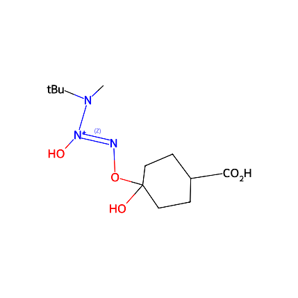 CN(/[N+](O)=N/OC1(O)CCC(C(=O)O)CC1)C(C)(C)C